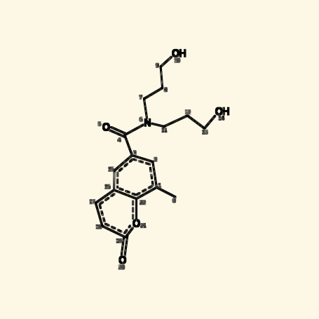 Cc1cc(C(=O)N(CCCO)CCCO)cc2ccc(=O)oc12